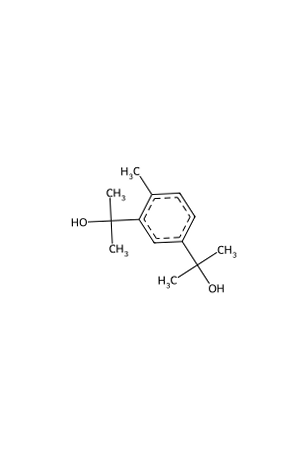 Cc1ccc(C(C)(C)O)cc1C(C)(C)O